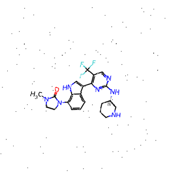 CN1CCN(c2cccc3c(-c4nc(N[C@H]5CCCNC5)ncc4C(F)(F)F)c[nH]c23)C1=O